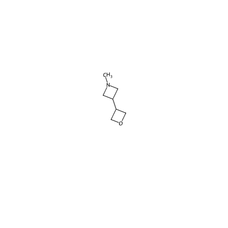 CN1CC(C2COC2)C1